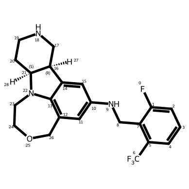 Fc1cccc(C(F)(F)F)c1CNc1cc2c3c(c1)[C@@H]1CNCC[C@@H]1N3CCOC2